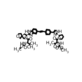 COC(=O)N[C@H](C(=O)N1CCC[C@H]1c1nc(-c2ccc(C#Cc3ccc4[nH]c([C@@H]5C[C@@]6(CCOC6)CN5C(=O)[C@@H](NC(=O)OC)C(C)C)nc4c3)cc2)c[nH]1)C(C)C